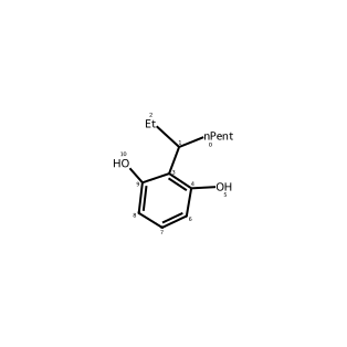 CCCCCC(CC)c1c(O)cccc1O